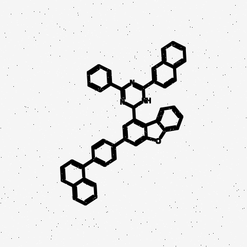 c1ccc(C2=NC(c3cc(-c4ccc(-c5cccc6ccccc56)cc4)cc4oc5ccccc5c34)NC(c3ccc4ccccc4c3)=N2)cc1